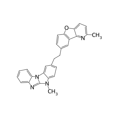 Cc1ccc2oc3ccc(CCc4ccc5c(c4)n4c6ccccc6nc4n5C)cc3c2n1